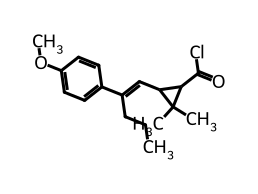 CCCC(=CC1C(C(=O)Cl)C1(C)C)c1ccc(OC)cc1